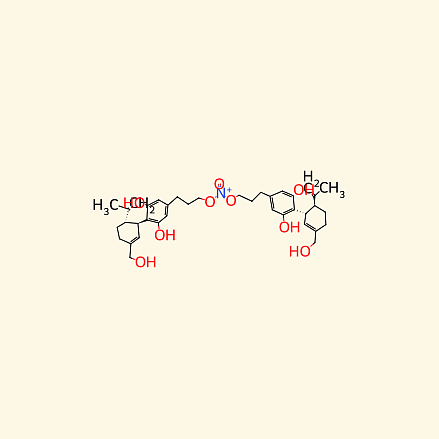 C=C(C)[C@H]1CCC(CO)=C[C@@H]1c1c(O)cc(CCCO[N+](=O)OCCCc2cc(O)c([C@H]3C=C(CO)CC[C@@H]3C(=C)C)c(O)c2)cc1O